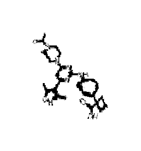 CC(=O)N1CCN(c2cc(-c3c(C)noc3C)nc(Nc3ccc(C4(C(=O)O)CCC4)cc3)n2)CC1